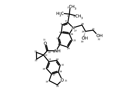 CC(C)(C)c1cc2cc(NC(=O)C3(c4ccc5c(c4)CCO5)CC3)ccc2n1C[C@@H](O)CO